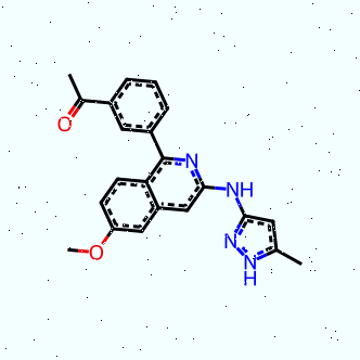 COc1ccc2c(-c3cccc(C(C)=O)c3)nc(Nc3cc(C)[nH]n3)cc2c1